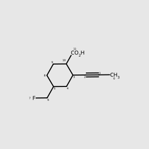 CC#CC1CC(CF)CCC1C(=O)O